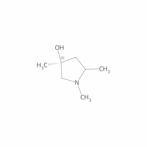 CC1C[C@](C)(O)CN1C